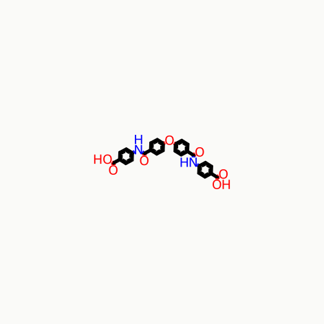 O=C(O)c1ccc(NC(=O)c2ccc(Oc3ccc(C(=O)Nc4ccc(C(=O)O)cc4)cc3)cc2)cc1